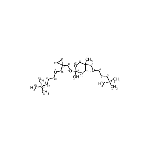 CC1(COCCCS(C)(C)C)COC(O)(OCC2(COCCCS(C)(C)C)CC2)OC1